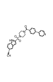 C#Cc1ccc2[nH]c(S(=O)(=O)N3CCN(C(=O)c4ccc(-c5ccncc5)cc4)CC3)cc2c1